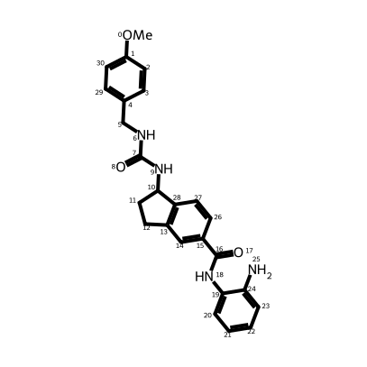 COc1ccc(CNC(=O)NC2CCc3cc(C(=O)Nc4ccccc4N)ccc32)cc1